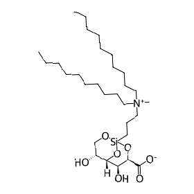 CCCCCCCCCC[N+](C)(CCCCCCCCCC)CCC[Si]12OC[C@@H](O)[C@H](O1)[C@H](O)[C@H](C(=O)[O-])O2